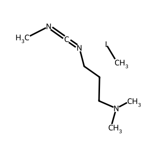 CI.CN=C=NCCCN(C)C